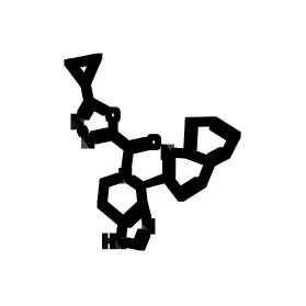 O=C(c1nnc(C2CC2)o1)N1CCc2[nH]cnc2[C@@H]1c1ccc2ccccc2n1